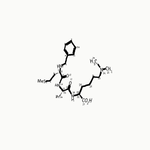 CSCC[C@H](NCc1ccccc1)C(=O)N[C@H](C(=O)N[C@@H](CCCCN(C)C)C(=O)O)C(C)C